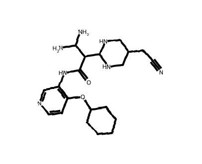 N#CCC1CNC(C(C(=O)Nc2cnccc2OC2CCCCC2)C(N)N)NC1